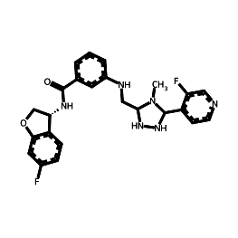 CN1C(CNc2cccc(C(=O)N[C@H]3COc4cc(F)ccc43)c2)NNC1c1ccncc1F